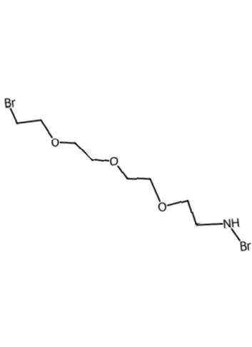 BrCCOCCOCCOCCNBr